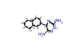 Nc1nnc(N)c(-c2ccc3ccccc3c2)n1